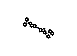 CC1(C)c2cc(/C=C/c3ccc4c(c3)C(C)(C)c3cc(N(c5ccccc5)c5cccc6ccccc56)ccc3-4)ccc2-c2ccc(N(c3ccccc3)c3ccccc3)cc21